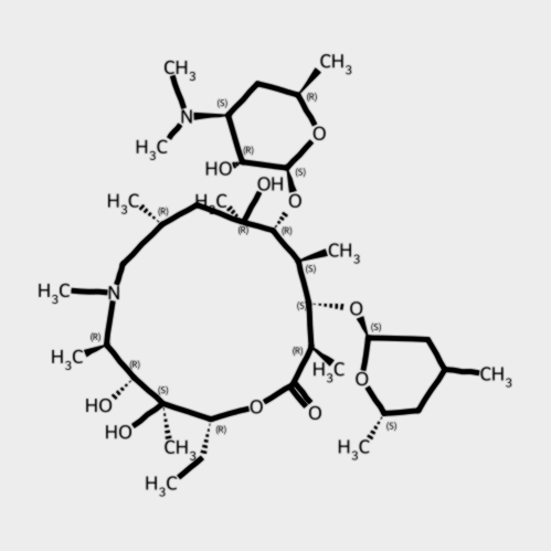 CC[C@H]1OC(=O)[C@H](C)[C@@H](O[C@H]2CC(C)C[C@H](C)O2)[C@H](C)[C@@H](O[C@@H]2O[C@H](C)C[C@H](N(C)C)[C@H]2O)[C@](C)(O)C[C@@H](C)CN(C)[C@H](C)[C@@H](O)[C@]1(C)O